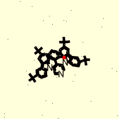 CC(C)(C)c1ccc2c(c1)c1cc(C(C)(C)C)ccc1n2-c1cncc(-n2c3ccc(C(C)(C)C)cc3c3cc(C(C)(C)C)ccc32)c1-c1ccccc1C#N